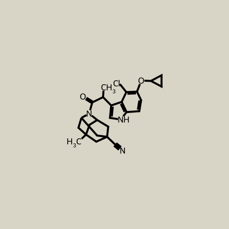 CC(C(=O)N1C2CC3(C)CC1CC(C#N)(C2)C3)c1c[nH]c2ccc(OC3CC3)c(Cl)c12